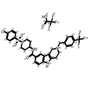 O=C(NC1CCN(S(=O)(=O)c2ccc(Cl)cc2)CC1)c1ccc2[nH]c3c(c2c1)CN(Cc1ccc(C(F)(F)F)cc1)CC3.O=C(O)C(F)(F)F